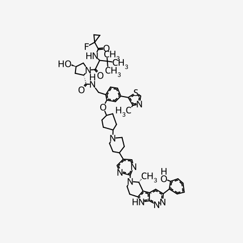 Cc1ncsc1-c1ccc(CNC(=O)[C@@H]2C[C@@H](O)CN2C(=O)C(NC(=O)C2(F)CC2)C(C)(C)C)c(OC2CCC(N3CCC(c4cnc(N5CCc6[nH]c7nnc(-c8ccccc8O)cc7c6[C@H]5C)nc4)CC3)CC2)c1